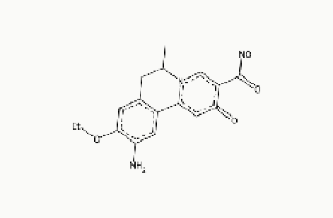 CCOc1cc2c(cc1N)-c1cc(=O)c(C(=O)N=O)cn1C(C)C2